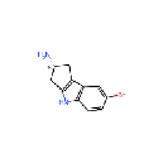 N[C@H]1Cc2[nH]c3ccc(Br)cc3c2C1